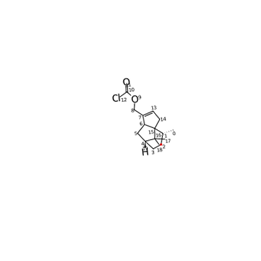 C[C@@H]1CC[C@@H]2CC3C(COC(=O)Cl)=CCC31C2(C)C